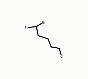 CCC(Br)CCCCCl